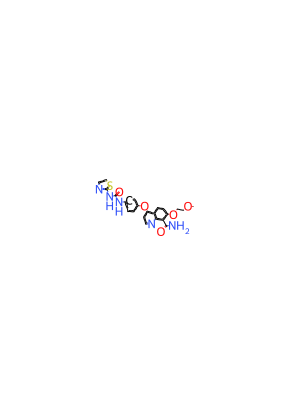 COCCOc1ccc2c(Oc3ccc(NC(=O)Nc4nccs4)cc3)ccnc2c1C(N)=O